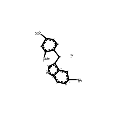 COc1cc(C(=O)[O-])ccc1Cc1c[nH]c2ccc([N+](=O)[O-])cc12.[Na+]